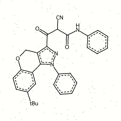 CC(C)(C)c1ccc2c(c1)-c1c(c(C(=O)C(C#N)C(=O)Nc3ccccc3)nn1-c1ccccc1)CO2